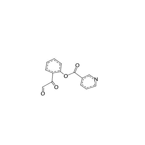 O=CC(=O)c1ccccc1OC(=O)c1cccnc1